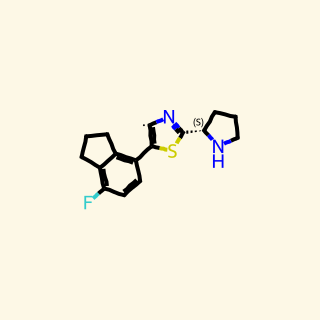 Fc1ccc(-c2[c]nc([C@@H]3CCCN3)s2)c2c1CCC2